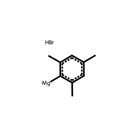 Br.Cc1cc(C)[c]([Mg])c(C)c1